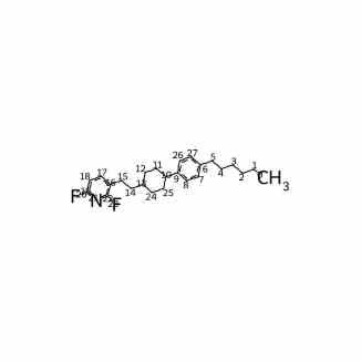 CCCCCCc1ccc(C2CCC(CCc3ccc(F)nc3F)CC2)cc1